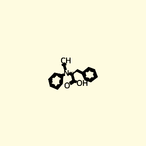 C#CN(c1ccccc1)[C@@H](Cc1ccccc1)C(=O)O